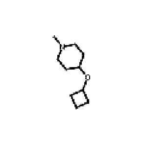 CN1CCC(OC2CCC2)CC1